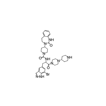 O=C(NC(Cc1cc(Br)c2[nH]ncc2c1)C(=O)N1CCN(C2CCNCC2)CC1)N1CCC(N2CCc3ccccc3NC2=O)CC1